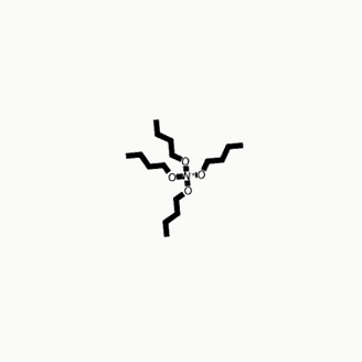 CCCCO[N+](OCCCC)(OCCCC)OCCCC